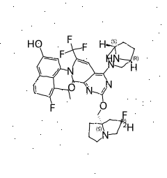 [2H][C@]1(F)CN2CCC[C@@]2(COc2nc(N3C[C@H]4CC[C@@H](C3)N4)c3cc(C(F)(F)F)n(-c4cc(O)cc5ccc(F)c(CC)c45)c(=O)c3n2)C1